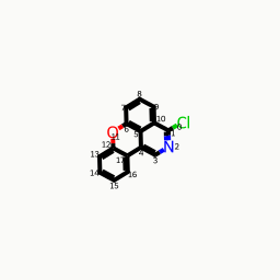 Clc1ncc2c3c(cccc13)Oc1ccccc1-2